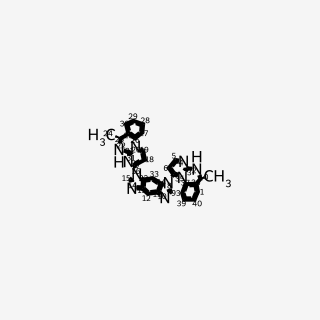 C[C@H](Nc1nccc(-n2cnc3cc4ncn(-c5ccnc(N[C@@H](C)c6ccccc6)n5)c4cc32)n1)c1ccccc1